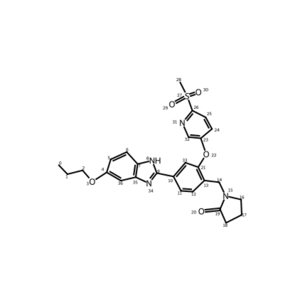 CCCOc1ccc2[nH]c(-c3ccc(CN4CCCC4=O)c(Oc4ccc(S(C)(=O)=O)nc4)c3)nc2c1